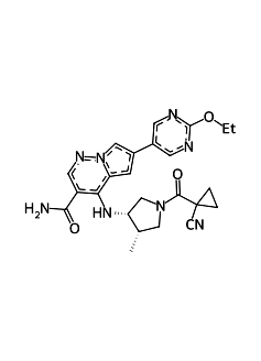 CCOc1ncc(-c2cc3c(N[C@@H]4CN(C(=O)C5(C#N)CC5)C[C@@H]4C)c(C(N)=O)cnn3c2)cn1